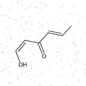 C/C=C/C(=O)/C=C\O